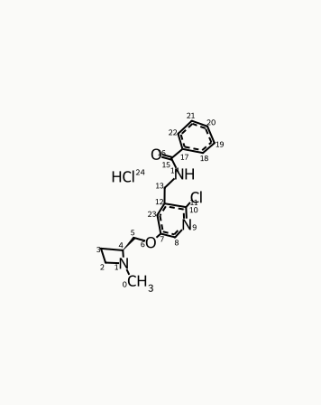 CN1CC[C@H]1COc1cnc(Cl)c(CNC(=O)c2ccccc2)c1.Cl